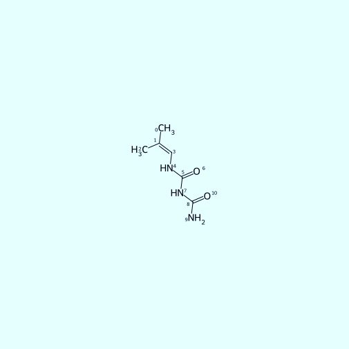 CC(C)=CNC(=O)NC(N)=O